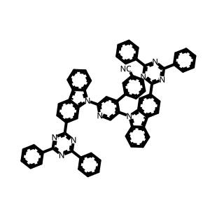 N#Cc1cccc(-c2cc(-n3c4ccccc4c4ccc(-c5nc(-c6ccccc6)nc(-c6ccccc6)n5)cc43)ncc2-n2c3ccccc3c3ccc(-c4nc(-c5ccccc5)nc(-c5ccccc5)n4)cc32)c1